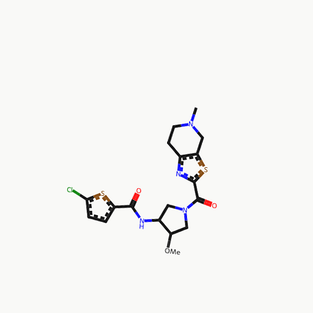 COC1CN(C(=O)c2nc3c(s2)CN(C)CC3)CC1NC(=O)c1ccc(Cl)s1